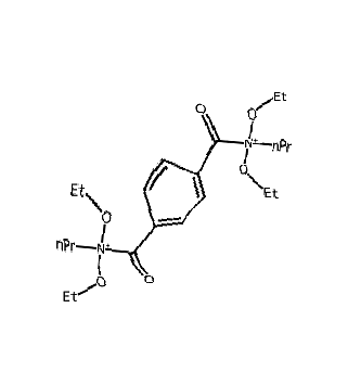 CCC[N+](OCC)(OCC)C(=O)c1ccc(C(=O)[N+](CCC)(OCC)OCC)cc1